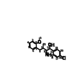 COc1ccccc1CC(C)C(N)C(O)c1ccc(Cl)cc1